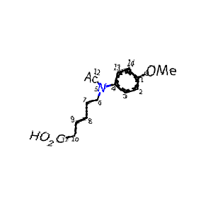 COc1ccc(N(CCCCCC(=O)O)C(C)=O)cc1